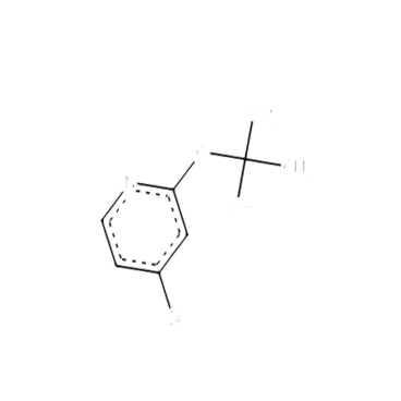 CCOC(=O)C(C)(C)Oc1cc(Br)ccn1